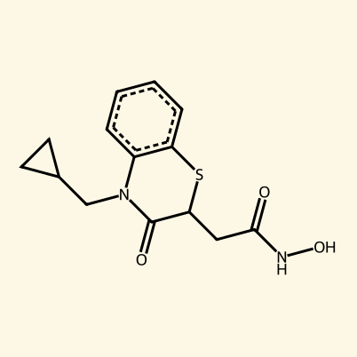 O=C(CC1Sc2ccccc2N(CC2CC2)C1=O)NO